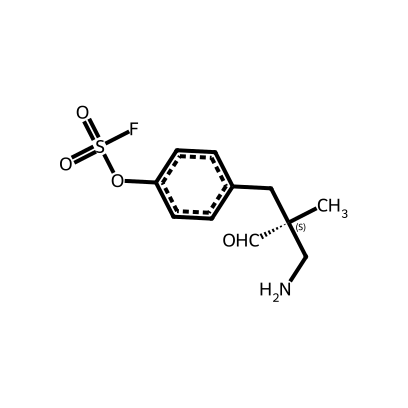 C[C@@](C=O)(CN)Cc1ccc(OS(=O)(=O)F)cc1